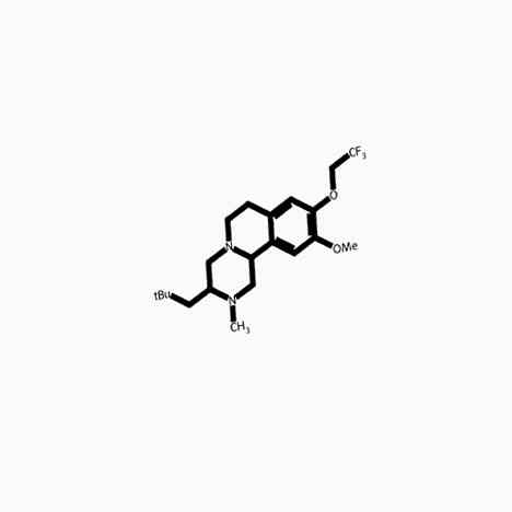 COc1cc2c(cc1OCC(F)(F)F)CCN1CC(CC(C)(C)C)N(C)CC21